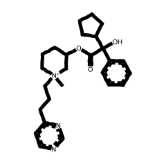 C[N+]1(CCCc2ccncn2)CCCC(OC(=O)C(O)(c2ccccc2)C2CCCC2)C1